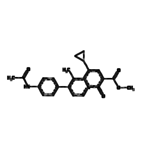 COC(=O)c1cc(C2CC2)c2c(C)c(-c3ccc(NC(C)=O)cc3)ccn2c1=O